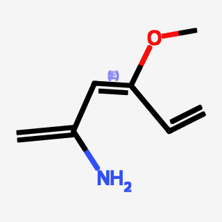 C=C/C(=C\C(=C)N)OC